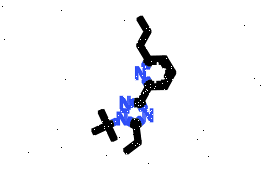 CCCc1cccc(-c2nc(CC)n(C(C)(C)C)n2)n1